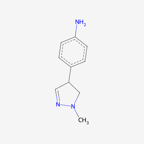 CN1CC(c2ccc(N)cc2)C=N1